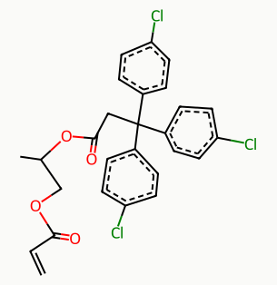 C=CC(=O)OCC(C)OC(=O)CC(c1ccc(Cl)cc1)(c1ccc(Cl)cc1)c1ccc(Cl)cc1